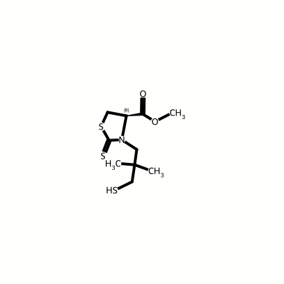 COC(=O)[C@@H]1CSC(=S)N1CC(C)(C)CS